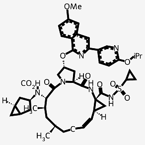 COc1ccc2c(O[C@@H]3C[C@H]4C(=O)N[C@]5(C(=O)NS(=O)(=O)C6CC6)C[C@H]5/C=C\CC[C@@H](C)C[C@@H](C)[C@H](N(C(=O)O)[C@H]5CC6C[C@H]6C5)C(=O)N4C3)nc(-c3ccc(OC(C)C)nc3)cc2c1